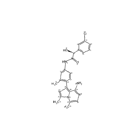 Cc1cc(NC(=O)[C@@H](O)c2cccc(Cl)c2)ccc1-c1nc(C)n2c(C)cnc(N)c12